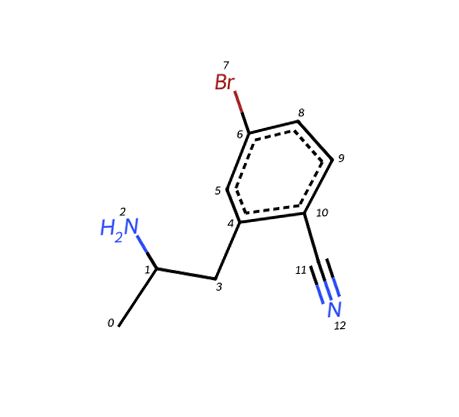 CC(N)Cc1cc(Br)ccc1C#N